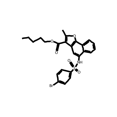 CCCCCOC(=O)c1c(C)oc2c1cc(NS(=O)(=O)c1ccc(Br)cc1)c1ccccc12